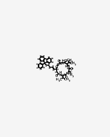 CC1NC(=O)C(C(C)C)NC(=O)CC(C=CCCSC(c2ccccc2)(c2ccccc2)c2ccccc2)OOC(=O)CC(O)C(C(C)C)NC1=O